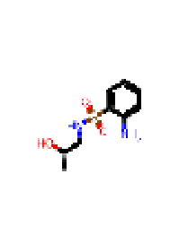 C[C@@H](O)CNS(=O)(=O)c1ccccc1N